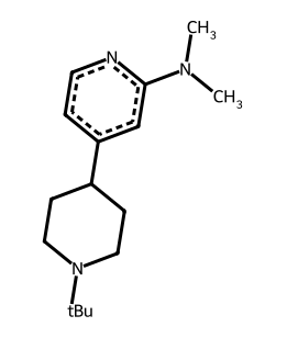 CN(C)c1cc(C2CCN(C(C)(C)C)CC2)ccn1